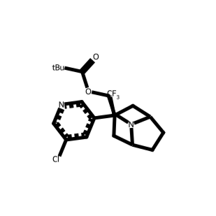 CC(C)(C)C(=O)OCC1(c2cncc(Cl)c2)CC2CCC(C1)N2CC(F)(F)F